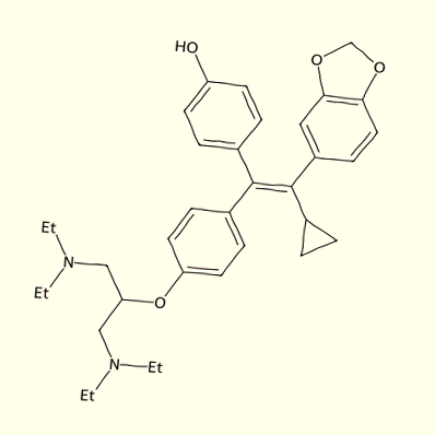 CCN(CC)CC(CN(CC)CC)Oc1ccc(C(=C(c2ccc3c(c2)OCO3)C2CC2)c2ccc(O)cc2)cc1